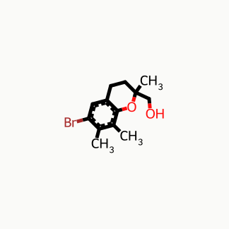 Cc1c(Br)cc2c(c1C)OC(C)(CO)CC2